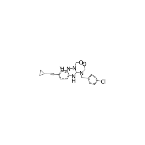 Cc1cc(NC2N(N)COOCN2Cc2ccc(Cl)cc2)ccc1C#CC1CC1